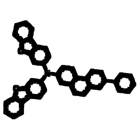 c1ccc(-c2ccc3c(ccc4cc(N(c5ccc6c(c5)oc5ccccc56)c5ccc6c(c5)oc5ccccc56)ccc43)c2)cc1